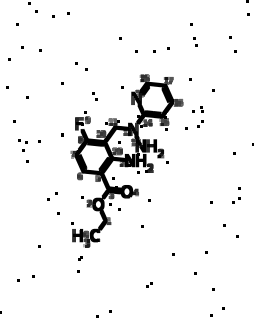 CCOC(=O)c1ccc(F)c(CN(N)c2ccccn2)c1N